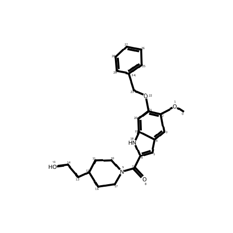 COc1cc2cc(C(=O)N3CCC(CCO)CC3)[nH]c2cc1OCc1ccccc1